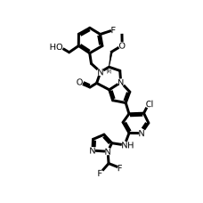 COC[C@H]1Cn2cc(-c3cc(Nc4ccnn4C(F)F)ncc3Cl)cc2C(C=O)N1Cc1cc(F)ccc1CO